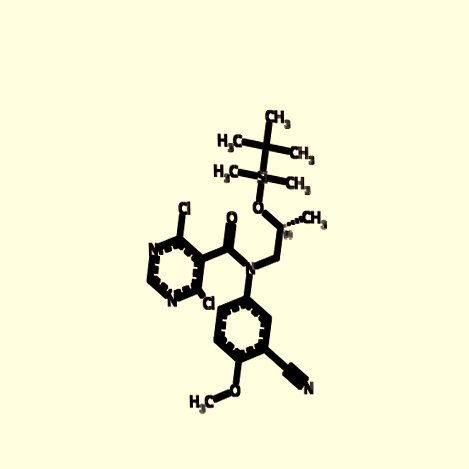 COc1ccc(N(C[C@@H](C)O[Si](C)(C)C(C)(C)C)C(=O)c2c(Cl)ncnc2Cl)cc1C#N